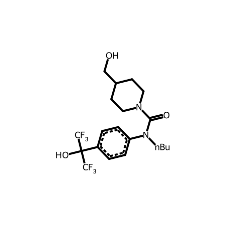 CCCCN(C(=O)N1CCC(CO)CC1)c1ccc(C(O)(C(F)(F)F)C(F)(F)F)cc1